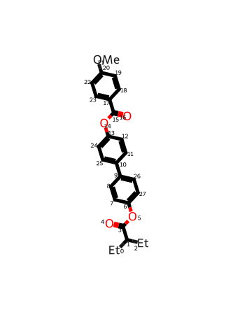 CCC(CC)C(=O)Oc1ccc(-c2ccc(OC(=O)c3ccc(OC)cc3)cc2)cc1